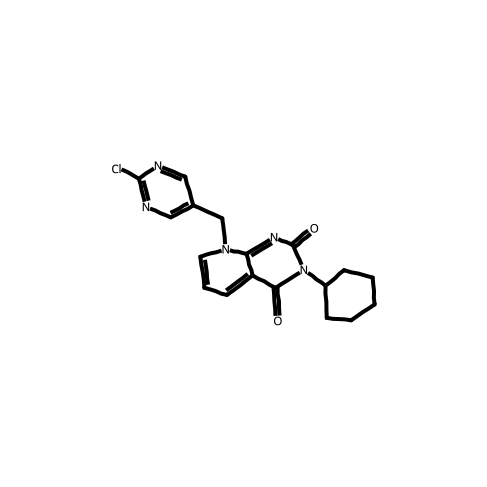 O=c1nc2n(Cc3cnc(Cl)nc3)cccc-2c(=O)n1C1CCCCC1